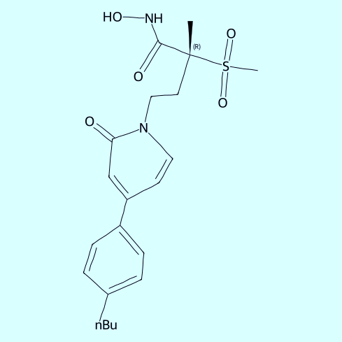 CCCCc1ccc(-c2ccn(CC[C@](C)(C(=O)NO)S(C)(=O)=O)c(=O)c2)cc1